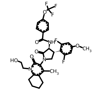 COc1cc(F)c([C@@H]2CN(c3c(C)c4c(n(CCO)c3=O)CCCC4)C(=O)[C@H]2NC(=O)c2ccc(OC(F)(F)F)cc2)c(F)c1